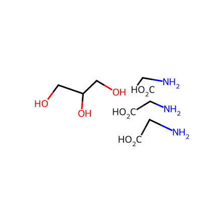 NCC(=O)O.NCC(=O)O.NCC(=O)O.OCC(O)CO